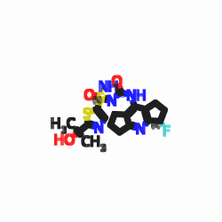 CC(C)(O)c1ncc([S@@](N)(=O)=NC(=O)Nc2c3c(nc4c2CC[C@H]4F)CCC3)s1